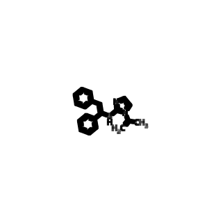 C=C(C)n1ccnc1BC(=Cc1ccccc1)c1ccccc1